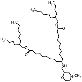 CCCCCCC(CCCC)COC(=O)CCCCCCCCC(CCCCCCCCC(=O)OCC(CCCC)CCCCCC)NCC1CN(C)CCO1